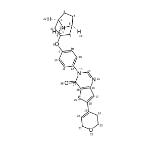 CN1[C@@H]2CC[C@H]1CC(Oc1ccc(-n3cnc4cc(C5=CCOCC5)sc4c3=O)cc1)C2